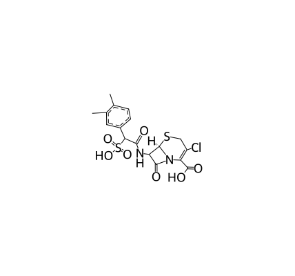 Cc1ccc(C(C(=O)NC2C(=O)N3C(C(=O)O)=C(Cl)CS[C@H]23)S(=O)(=O)O)cc1C